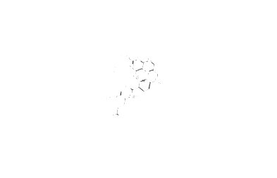 CN(Cc1cnc2nc(N)nc(N)c2n1)c1ccc(C(=O)NC(CCC(=O)O)C(=O)O)cc1.[Zn]